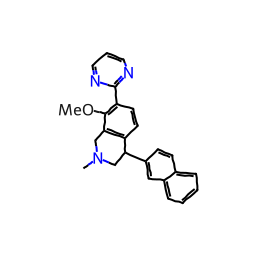 COc1c(-c2ncccn2)ccc2c1CN(C)CC2c1ccc2ccccc2c1